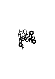 O=C(c1ccccc1)N(Cc1ccccc1)C1OC(CO)C(O)C(n2cc(-c3cccc(F)c3)nn2)C1O